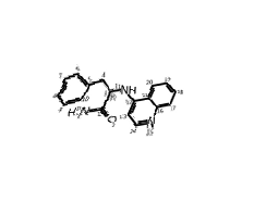 NC(=O)[C@@H](Cc1ccccc1)Nc1ccnc2ccccc12